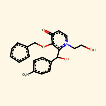 O=c1ccn(CCO)c(C(O)c2ccc([N+](=O)[O-])cc2)c1OCc1ccccc1